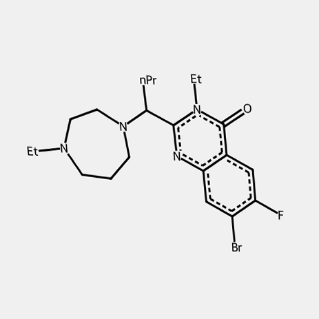 CCCC(c1nc2cc(Br)c(F)cc2c(=O)n1CC)N1CCCN(CC)CC1